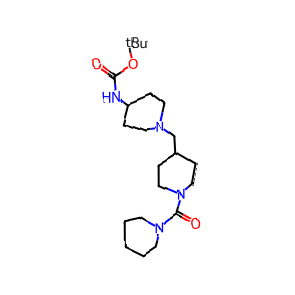 CC(C)(C)OC(=O)NC1CCN(CC2CCN(C(=O)N3CCCCC3)CC2)CC1